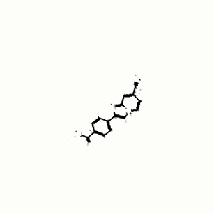 CNC(=O)c1ccc(-c2cn3ccc(C#N)cc3n2)cc1